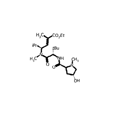 CCOC(=O)/C(C)=C/[C@H](C(C)C)N(C)C(=O)[C@@H](NC(=O)C1C[C@@H](O)CN1C)C(C)(C)C